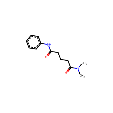 CN(C)C(=O)CCCC(=O)Nc1ccccc1